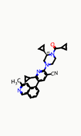 Cc1cc2c(-c3cc(C#N)c(N4CCN(C(=O)C5CC5)[C@H](C5CC5)C4)nc3C3CC3)cccc2cn1